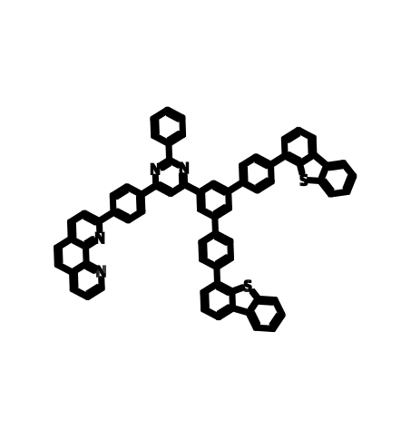 c1ccc(-c2nc(-c3ccc(-c4ccc5ccc6cccnc6c5n4)cc3)cc(-c3cc(-c4ccc(-c5cccc6c5sc5ccccc56)cc4)cc(-c4ccc(-c5cccc6c5sc5ccccc56)cc4)c3)n2)cc1